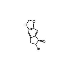 O=C1c2cc3c(cc2CC1Br)OCO3